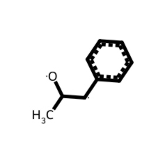 CC([O])[CH]c1ccccc1